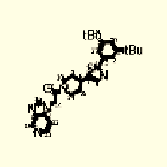 CC(C)(C)c1cc(-c2ncc(C3CCN(C(=O)Cn4cnc5cnccc54)CC3)s2)cc(C(C)(C)C)c1